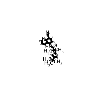 CC(C)(C)c1cnn(C(C)(C)C(=O)Nc2ccc(C#N)c3ncccc23)c1